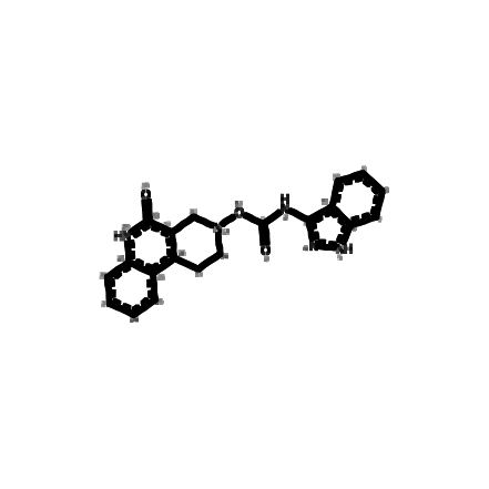 O=C(Nc1n[nH]c2ccccc12)ON1CCc2c(c(=O)[nH]c3ccccc23)C1